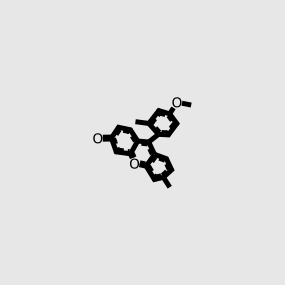 COc1ccc(-c2c3ccc(=O)cc-3oc3cc(C)ccc23)c(C)c1